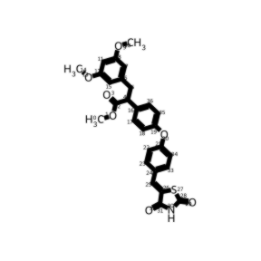 COC(=O)C(Cc1cc(OC)cc(OC)c1)c1ccc(Oc2ccc(/C=C3\SC(=O)NC3=O)cc2)cc1